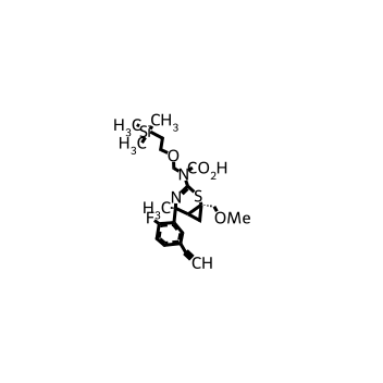 C#Cc1ccc(F)c([C@@]2(C)N=C(N(COCC[Si](C)(C)C)C(=O)O)S[C@@]3(COC)CC32)c1